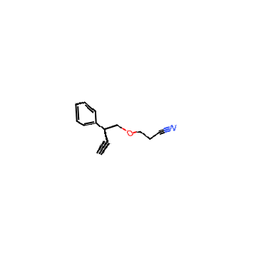 C#CC(COCCC#N)c1ccccc1